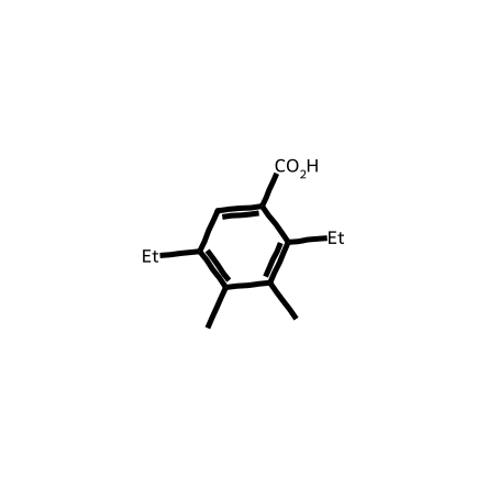 CCc1cc(C(=O)O)c(CC)c(C)c1C